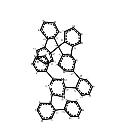 c1ccc(-c2nc(-c3ccccc3-c3ccccc3)nc(-c3ccccc3-c3ccc4c(c3)-c3ccccc3C43c4ccccc4-c4ccccc43)n2)cc1